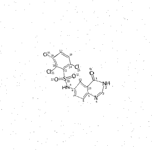 O=c1[nH]cnc2ccc(NS(=O)(=O)c3c(Cl)ccc(Cl)c3Cl)cc12